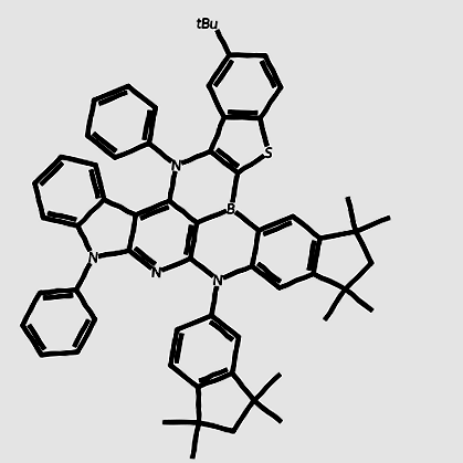 CC(C)(C)c1ccc2sc3c(c2c1)N(c1ccccc1)c1c2c(nc4c1c1ccccc1n4-c1ccccc1)N(c1ccc4c(c1)C(C)(C)CC4(C)C)c1cc4c(cc1B32)C(C)(C)CC4(C)C